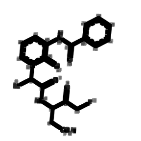 CCC(C(=O)NC(CC(=O)O)C(=O)CF)n1cccc(NC(=O)c2ccccc2)c1=O